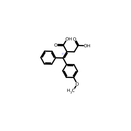 COc1ccc(/C(=C(\CC(=O)O)C(=O)O)c2ccccc2)cc1